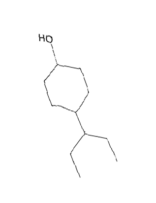 CC[C](CC)C1CCC(O)CC1